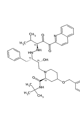 CC(C)[C@H](NN[C@@H](Cc1ccccc1)[C@H](O)CN1CCC(OCc2cccnc2)C[C@H]1C(=O)NC(C)(C)C)C(=O)C(=O)c1ccc2ccccc2n1